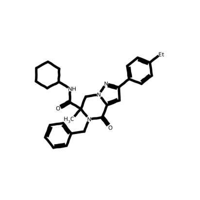 CCc1ccc(-c2cc3n(n2)CC(C)(C(=O)NC2CCCCC2)N(Cc2ccccc2)C3=O)cc1